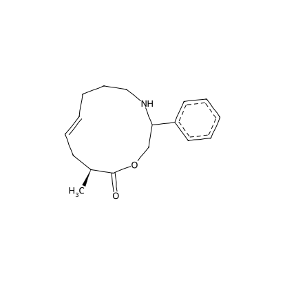 C[C@H]1C/C=C/CCCNC(c2ccccc2)COC1=O